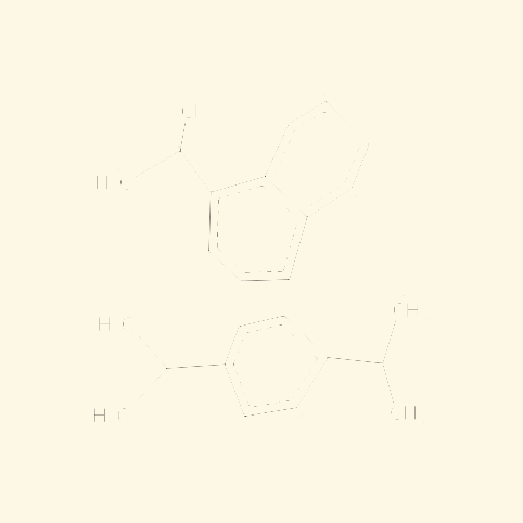 CC(C)c1ccc(C(C)C)cc1.CC(C)c1cccc2ccccc12